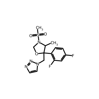 CC1N(S(C)(=O)=O)COC1(Cn1ccnn1)c1ccc(F)cc1F